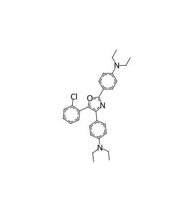 CCN(CC)c1ccc(-c2nc(-c3ccc(N(CC)CC)cc3)c(-c3ccccc3Cl)o2)cc1